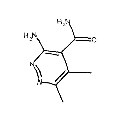 Cc1nnc(N)c(C(N)=O)c1C